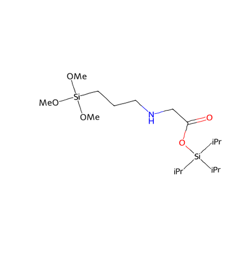 CO[Si](CCCNCC(=O)O[Si](C(C)C)(C(C)C)C(C)C)(OC)OC